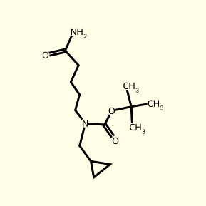 CC(C)(C)OC(=O)N(CCCCC(N)=O)CC1CC1